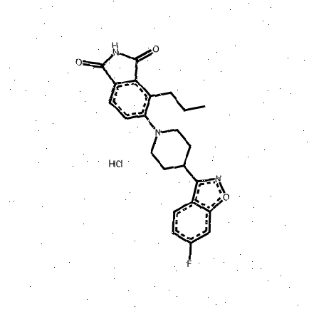 CCCc1c(N2CCC(c3noc4cc(F)ccc34)CC2)ccc2c1C(=O)NC2=O.Cl